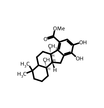 COC(=O)c1cc(O)c(O)c2c1[C@]1(C)CCC3C(C)(C)CCC[C@]3(C)[C@H]1C2